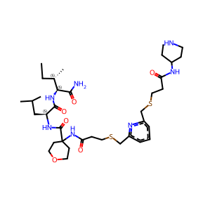 CC[C@H](C)[C@H](NC(=O)[C@H](CC(C)C)NC(=O)C1(NC(=O)CCSCc2cccc(CSCCC(=O)NC3CCNCC3)n2)CCOCC1)C(N)=O